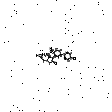 C#CCC1CC(=O)C(c2cc(-c3ncc(Cl)cn3)ccc2C)C1=C